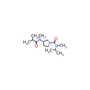 CC(C)C(=O)N(C)C1CCN(C(=O)N(C)C(C)C)C1